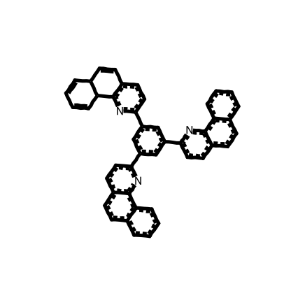 C1=CC2C=Cc3ccc(-c4cc(-c5ccc6ccc7ccccc7c6n5)cc(-c5ccc6ccc7ccccc7c6n5)c4)nc3C2C=C1